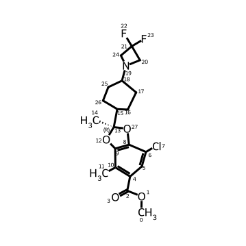 COC(=O)c1cc(Cl)c2c(c1C)O[C@@](C)(C1CCC(N3CC(F)(F)C3)CC1)O2